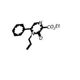 C=CCn1c(-c2ccccc2)cnc(C(=O)OCC)c1=O